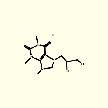 CN1CN(CC(O)CO)c2c1n(C)c(=O)n(C)c2=O.I